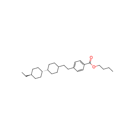 CCCCOC(=O)c1ccc(CCC2CCC([C@H]3CC[C@H](CC)CC3)CC2)cc1